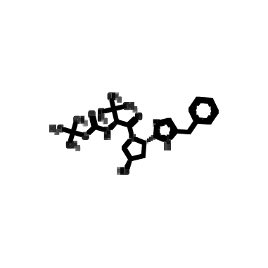 CC(C)(C)OC(=O)N[C@H](C(=O)N1C[C@H](O)C[C@H]1c1ncc(Cc2ccccc2)[nH]1)C(C)(C)C